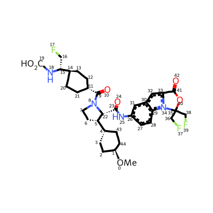 CO[C@H]1CC[C@H]([C@@H]2CCN(C(=O)[C@H]3CC[C@H]([C@@H](CF)NC(=O)O)CC3)[C@@H]2C(=O)Nc2ccc3c(c2)cc2n3C(CF)(CF)OC2=O)CC1